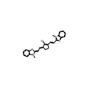 CN1/C(=C/C=C2\CCC(/C=C/c3sc4ccccc4[n+]3C)=C2Cl)Sc2ccccc21